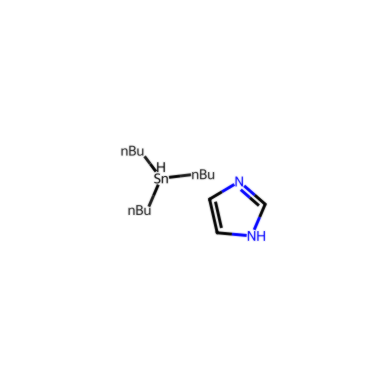 CCC[CH2][SnH]([CH2]CCC)[CH2]CCC.c1c[nH]cn1